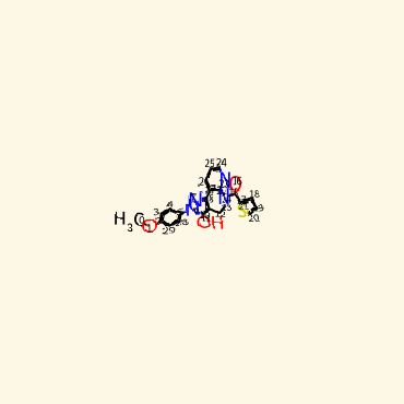 COc1ccc(-n2nc3c(c2O)CCN(C(=O)c2cccs2)c2ncccc2-3)cc1